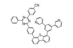 N#Cc1ccc(-c2nc(-c3ccccc3)nc(-c3ccc(-c4cccc5c4sc4c(-c6cc(-c7cccnc7)cc(-c7cccnc7)c6)cccc45)cc3)n2)cc1